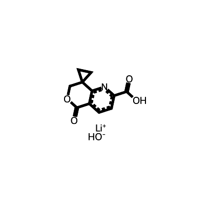 O=C(O)c1ccc2c(n1)C1(CC1)COC2=O.[Li+].[OH-]